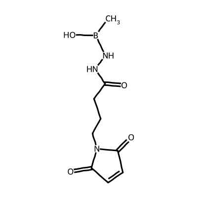 CB(O)NNC(=O)CCCN1C(=O)C=CC1=O